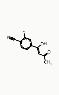 CC(=O)/C=C(\O)c1ccc(C#N)c(F)c1